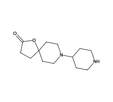 O=C1CCC2(CCN(C3CCNCC3)CC2)O1